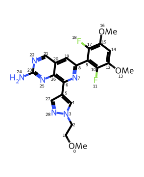 COCCn1cc(-c2nc(-c3c(F)c(OC)cc(OC)c3F)cc3cnc(N)nc23)cn1